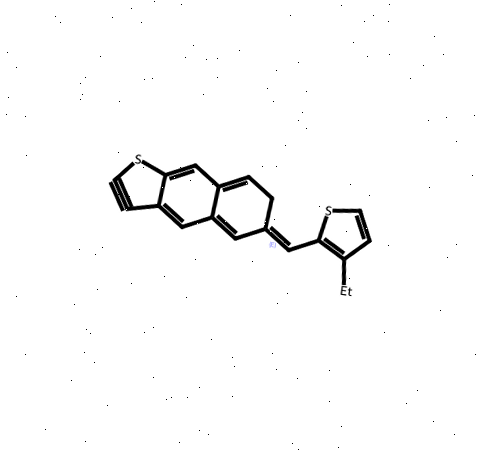 CCc1ccsc1/C=C1/C=c2cc3c#csc3cc2=CC1